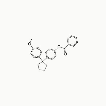 COc1ccc(C2(c3ccc(OC(=O)c4ccccc4)cc3)CCCC2)cc1